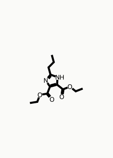 CCCc1nc(C(=O)OCC)c(C(=O)OCC)[nH]1